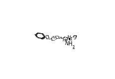 Nc1nc(N2CCN3CC(COc4ccccc4)CCC3C2)cc2nc(-c3ccco3)nn12